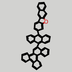 c1ccc2cc3c(cc2c1)oc1cc(-c2c4ccccc4c(-c4cc5c6ccccc6c6ccccc6c5c5ccccc45)c4ccccc24)ccc13